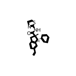 C=Cc1ccc2c(c1)[C@@H](c1ccccc1)[C@@](C)(C(=O)Nc1nccs1)C2